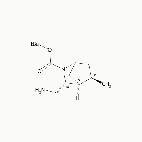 C[C@@H]1CC2C[C@@H]1[C@H](CN)N2C(=O)OC(C)(C)C